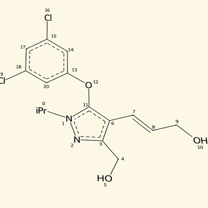 CC(C)n1nc(CO)c(/C=C/CO)c1Oc1cc(Cl)cc(Cl)c1